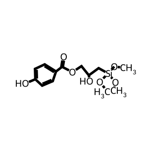 CO[Si](CC(O)COC(=O)c1ccc(O)cc1)(OC)OC